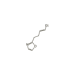 [CH2]CC=CCCc1ncco1